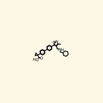 Cc1noc(-c2ccc(-c3ccc(C4(C(=O)O)CC4)cc3)cc2)c1CNCC1CCCCC1